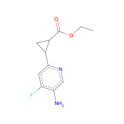 CCOC(=O)C1CC1c1cc(F)c(N)cn1